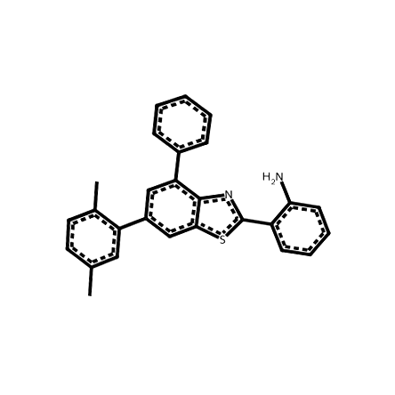 Cc1ccc(C)c(-c2cc(-c3ccccc3)c3nc(-c4ccccc4N)sc3c2)c1